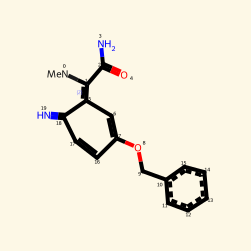 CN/C(C(N)=O)=C1/C=C(OCc2ccccc2)C=CC1=N